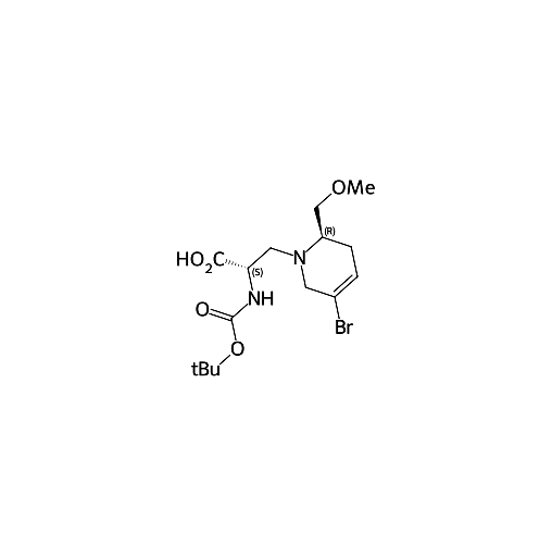 COC[C@H]1CC=C(Br)CN1C[C@H](NC(=O)OC(C)(C)C)C(=O)O